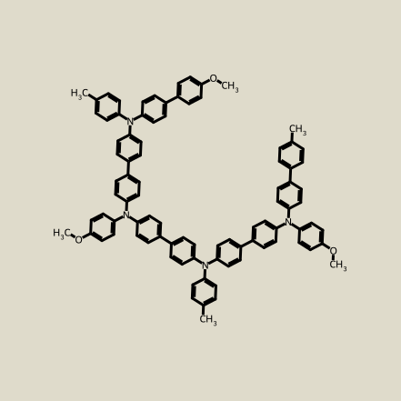 COc1ccc(-c2ccc(N(c3ccc(C)cc3)c3ccc(-c4ccc(N(c5ccc(OC)cc5)c5ccc(-c6ccc(N(c7ccc(C)cc7)c7ccc(-c8ccc(N(c9ccc(OC)cc9)c9ccc(-c%10ccc(C)cc%10)cc9)cc8)cc7)cc6)cc5)cc4)cc3)cc2)cc1